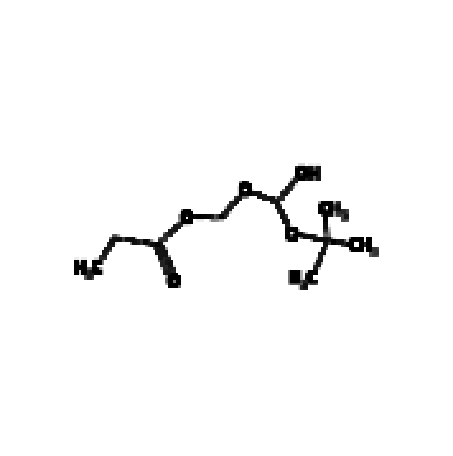 CCC(=O)OCOC(O)OC(C)(C)C